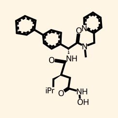 CC(C)C[C@H](CC(=O)NO)C(=O)N[C@@H](C(=O)N(C)Cc1ccccn1)c1ccc(-c2ccccc2)cc1